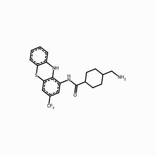 NCC1CCC(C(=O)Nc2cc(C(F)(F)F)cc3c2Nc2ccccc2S3)CC1